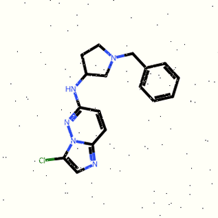 Clc1cnc2ccc(NC3CCN(Cc4ccccc4)C3)nn12